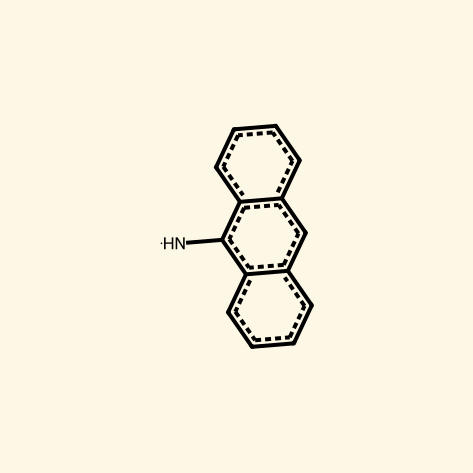 [NH]c1c2ccccc2cc2ccccc12